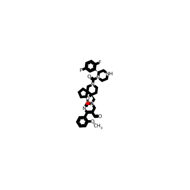 COc1ccccc1C1=C(C=O)CN(C[C@]2(OC)CCN(C(=O)N3CCNC[C@H]3c3cc(F)ccc3F)CC23CCCC3)C=N1